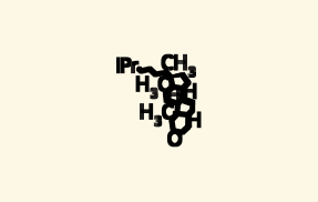 CC(C)CCC[C@@H](C)[C@H]1CC[C@H]2C3=CC[C@H]4CC5OC5C[C@]4(C)[C@H]3CC[C@]12C